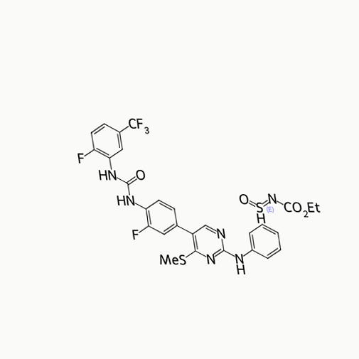 CCOC(=O)/N=[SH](=O)\c1cccc(Nc2ncc(-c3ccc(NC(=O)Nc4cc(C(F)(F)F)ccc4F)c(F)c3)c(SC)n2)c1